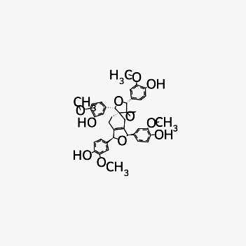 COc1ccc([C@@H]2O[C@H](c3ccc(O)c(OC)c3)[C@@]3(CO3)[C@]23CCC2=C(C3)[C@@H](c3ccc(O)c(OC)c3)O[C@H]2c2ccc(O)c(OC)c2)cc1O